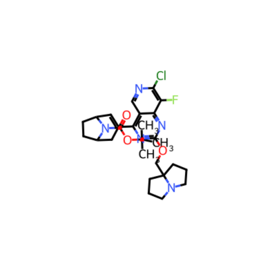 CC(C)(C)OC(=O)N1C2C=C(c3nc(OCC45CCCN4CCC5)nc4c(F)c(Cl)ncc34)CC1CC2